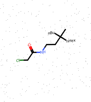 CCCCCCC(C)(CCCC)CCNC(=O)CCl